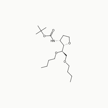 CCCCOC[C@@H](OCCCC)[C@H]1OCC[C@H]1NC(=O)OC(C)(C)C